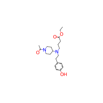 CCOC(=O)CCCN(CCc1ccc(O)cc1)C1CCN(C(C)=O)CC1